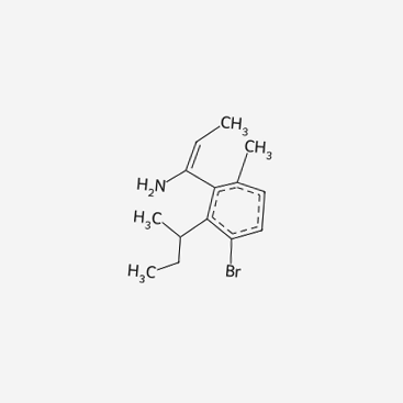 C/C=C(/N)c1c(C)ccc(Br)c1C(C)CC